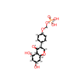 O=c1c(-c2ccc(OCOP(=O)(O)O)cc2)coc2cc(O)cc(O)c12